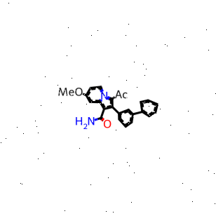 COc1ccn2c(C(C)=O)c(-c3cccc(-c4ccccc4)c3)c(C(N)=O)c2c1